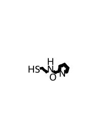 O=C(NCCS)c1ccccn1